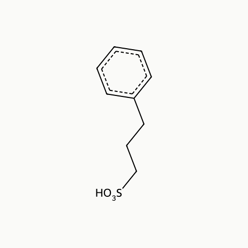 O=S(=O)(O)CCCc1ccccc1